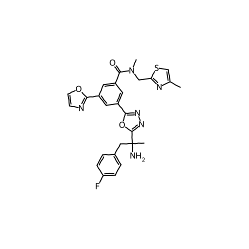 Cc1csc(CN(C)C(=O)c2cc(-c3ncco3)cc(-c3nnc(C(C)(N)Cc4ccc(F)cc4)o3)c2)n1